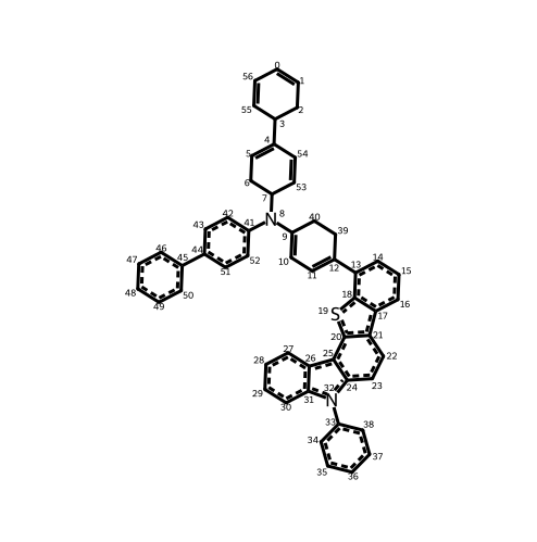 C1=CCC(C2=CCC(N(C3=CC=C(c4cccc5c4sc4c5ccc5c4c4ccccc4n5-c4ccccc4)CC3)c3ccc(-c4ccccc4)cc3)C=C2)C=C1